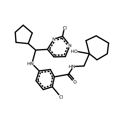 O=C(NCC1(O)CCCCC1)c1cc(NC(c2ccnc(Cl)n2)C2CCCC2)ccc1Cl